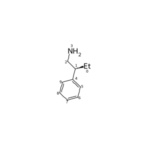 CC[C@H](CN)c1ccccc1